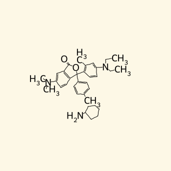 CCN(CC)c1ccc(C2(c3ccc(C)cc3)OC(=O)c3cc(N(C)C)ccc32)c(C)c1.NC1CCCCC1